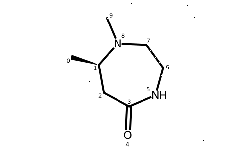 C[C@@H]1CC(=O)NCCN1C